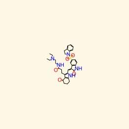 CCN(CC)CCNC(=O)CCc1c(C=C2C(=O)Nc3ccc(S(=O)(=O)N4CCc5ccccc54)cc32)[nH]c2c1C(=O)CCC2